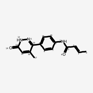 CC=CC(=O)Nc1ccc(-c2n[nH]c(=O)cc2C)cc1